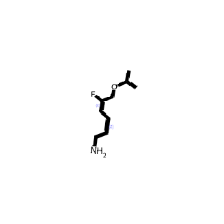 CC(C)OC/C(F)=C\C=C/CN